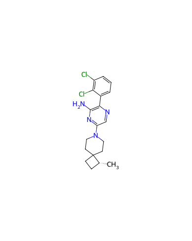 C[C@@H]1CCC12CCN(c1cnc(-c3cccc(Cl)c3Cl)c(N)n1)CC2